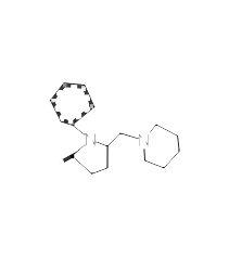 O=C1CCC(CN2CCCCC2)N1c1ccccc1